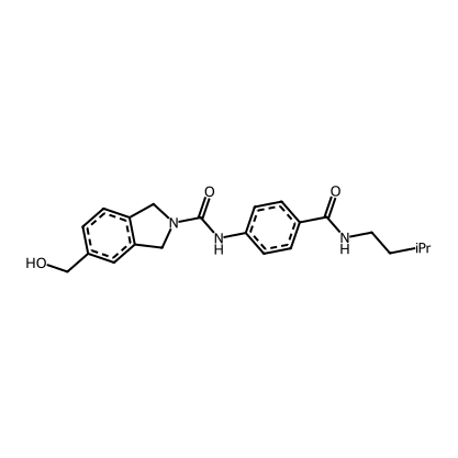 CC(C)CCNC(=O)c1ccc(NC(=O)N2Cc3ccc(CO)cc3C2)cc1